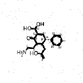 C=C(O)CC1C(CCN)C(=O)C(C(O)O)=C[C@@H]1c1ccccc1